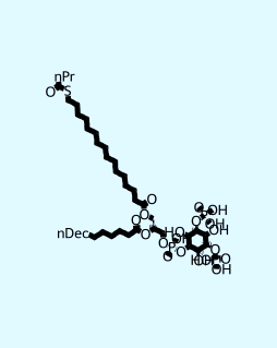 CCCCCCCCCCCCCCCC(=O)O[C@H](COC(=O)CCCCCCCCCCCCCCCSC(=O)CCC)COP(=O)(O)OC1C(O)[C@@H](OP(=O)(O)O)C(O)[C@@H](OP(=O)(O)O)[C@H]1O